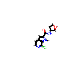 Cn1c(C(=O)NC2CCOC2)cc2ccnc(Cl)c21